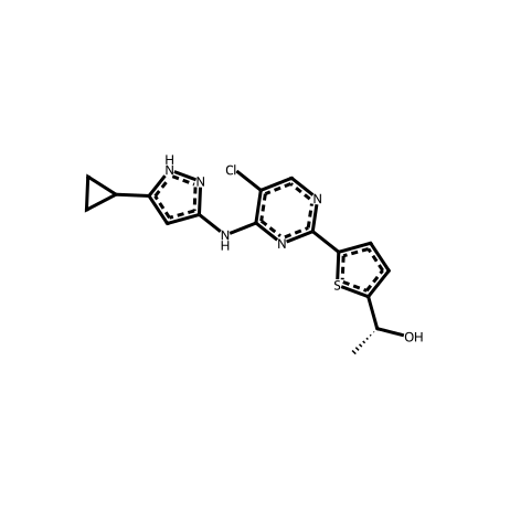 C[C@@H](O)c1ccc(-c2ncc(Cl)c(Nc3cc(C4CC4)[nH]n3)n2)s1